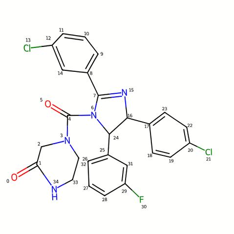 O=C1CN(C(=O)N2C(c3cccc(Cl)c3)=NC(c3ccc(Cl)cc3)C2c2cccc(F)c2)CCN1